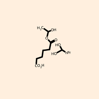 CC(O)OC(=O)CCCCC(=O)O.CCCC(O)O